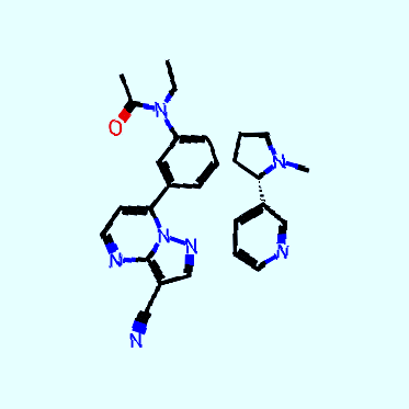 CCN(C(C)=O)c1cccc(-c2ccnc3c(C#N)cnn23)c1.CN1CCC[C@H]1c1cccnc1